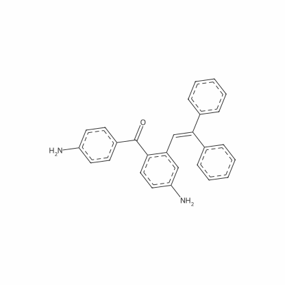 Nc1ccc(C(=O)c2ccc(N)cc2C=C(c2ccccc2)c2ccccc2)cc1